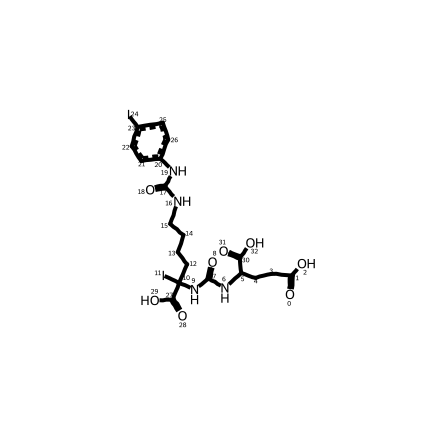 O=C(O)CCC(NC(=O)NC(I)(CCCCNC(=O)Nc1ccc(I)cc1)C(=O)O)C(=O)O